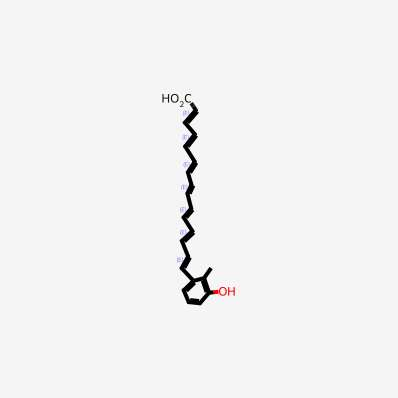 Cc1c(O)cccc1/C=C/C=C/C=C/C=C/C=C/C=C/C=C/C(=O)O